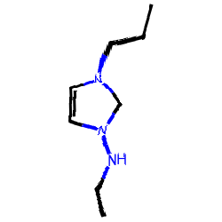 CCCN1C=CN(NCC)C1